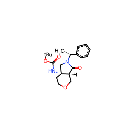 C[C@H](c1ccccc1)N1C[C@]2(NC(=O)OC(C)(C)C)CCOC[C@@H]2C1=O